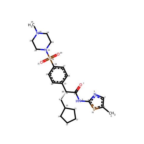 Cc1cnc(NC(=O)[C@H](CC2CCCC2)c2ccc(S(=O)(=O)N3CCN(C)CC3)cc2)s1